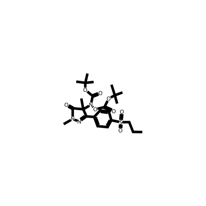 CCCS(=O)(=O)c1ccc(C2=NN(C)C(=O)C2(C)N(OC(=O)OC(C)(C)C)C(=O)OC(C)(C)C)cc1